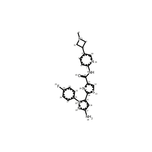 CN1CC(c2ccc(NC(=O)c3csc(-c4cc(N)nn4-c4ccc(F)cc4)n3)nc2)C1